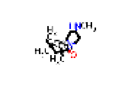 CCC(C)(C)CC(C)(C)C(=O)N1CCC(NC)CC1